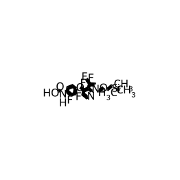 C[Si](C)(C)CCOCn1cc(C(F)(F)F)c2c(Oc3ccc(NC(=O)O)c(F)c3F)ccnc21